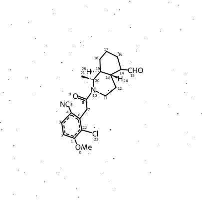 COc1ccc(C#N)c(CC(=O)N2CC[C@H]3C(C=O)CCC[C@@H]3[C@@H]2C)c1Cl